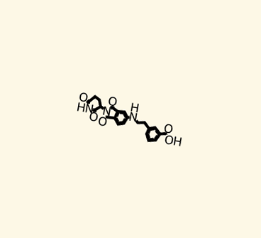 O=C1CCC(N2C(=O)c3ccc(NCCc4cccc(C(=O)O)c4)cc3C2=O)C(=O)N1